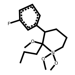 CCCC1(OC)C(c2cccc(F)c2)CCC[Si]1(OC)OC